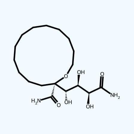 NC(=O)[C@@H](O)[C@H](O)[C@H](O)[C@@]1(C(N)=O)CCCCCCCCCCCCO1